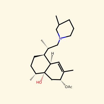 CC(=O)O[C@@H]1[C][C@@]2(O)[C@H](C)CC[C@@H]([C@H](C)CN3CCCC(C)C3)[C@H]2C=C1C